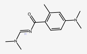 Cc1cc(N(C)C)ccc1C(=O)/N=C/N(C)C